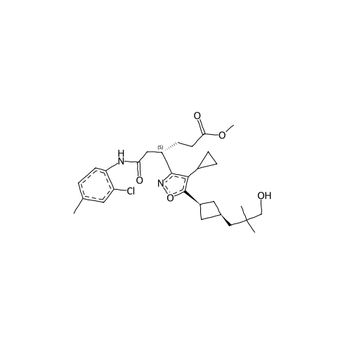 COC(=O)CC[C@@H](CC(=O)Nc1ccc(C)cc1Cl)c1noc([C@H]2C[C@@H](CC(C)(C)CO)C2)c1C1CC1